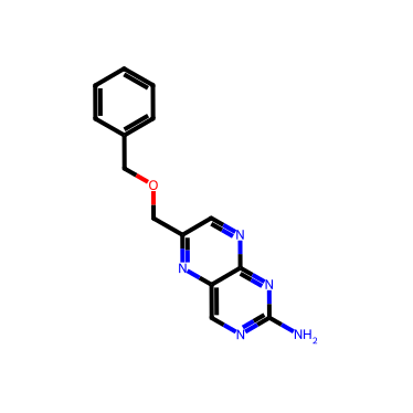 Nc1ncc2nc(COCc3ccccc3)cnc2n1